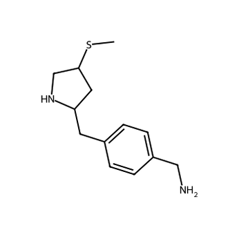 CSC1CNC(Cc2ccc(CN)cc2)C1